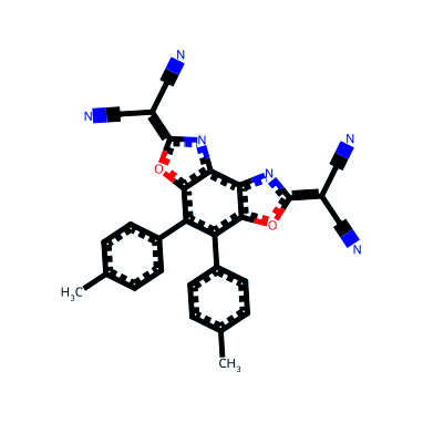 Cc1ccc(-c2c(-c3ccc(C)cc3)c3oc(=C(C#N)C#N)nc3c3nc(=C(C#N)C#N)oc23)cc1